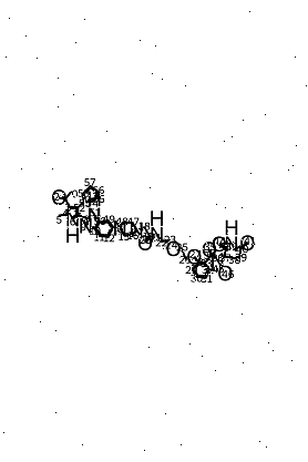 CC(=O)c1c(C)[nH]c(-c2nc3ccc(N4CCN(CC(=O)NCCOCCOc5cccc6c5C(=O)N(C5CCC(=O)NC5=O)C6=O)CC4)cc3[nH]2)c1-c1ccccc1